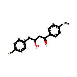 COc1ccc(C(=O)CC(O)Cc2ccc(F)cc2)cc1